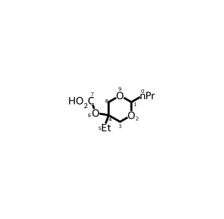 CCCC1OCC(CC)(OC(=O)O)CO1